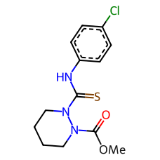 COC(=O)N1CCCCN1C(=S)Nc1ccc(Cl)cc1